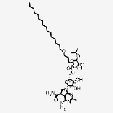 CCCCCCCCCCCCCCCCOCCCOP(=O)(N[C@@H](C)C(=O)OC(C)C)OC[C@H]1O[C@@H](n2cc(C(N)=O)c3c(N)nc(C)nc32)[C@H](O)[C@@H]1O